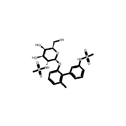 Cc1cccc(O[C@@H]2O[C@H](CO)[C@H](O)[C@H](O)[C@H]2NS(C)(=O)=O)c1-c1cccc(NS(C)(=O)=O)c1